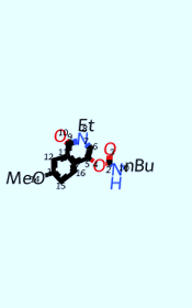 CCCCNC(=O)Oc1cn(CC)c(=O)c2cc(OC)ccc12